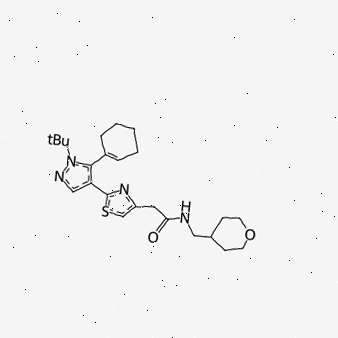 CC(C)(C)n1ncc(-c2nc(CC(=O)NCC3CCOCC3)cs2)c1C1=CCCCC1